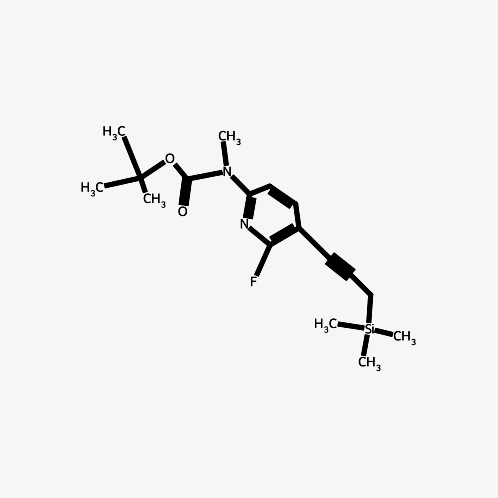 CN(C(=O)OC(C)(C)C)c1ccc(C#CC[Si](C)(C)C)c(F)n1